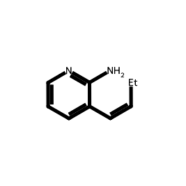 CC/C=C\c1cccnc1N